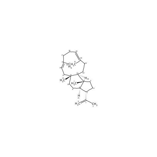 C=C(C)[C@H]1CC[C@]2(C)[C@@H]1CC[C@]1(C)C/C=C(\C)CC/C=C(\C)CC[C@H]12